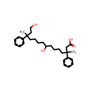 CC(CCO)(CCCCC(O)CCCCC(C)(CC(=O)O)c1ccccc1)c1ccccc1